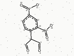 O=CC(C=O)c1ccc([N+](=O)[O-])cc1[N+](=O)[O-]